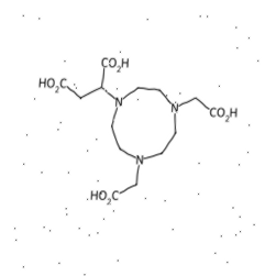 O=C(O)CC(C(=O)O)N1CCN(CC(=O)O)CCN(CC(=O)O)CC1